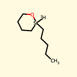 [2H][Si]1(CCCCC)CCCCO1